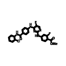 COC(=O)c1ccc(Nc2ncc(F)c(Nc3ccc(C(=O)Nc4ccccc4Cl)cc3)n2)cc1F